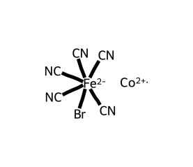 N#[C][Fe-2]([Br])([C]#N)([C]#N)([C]#N)[C]#N.[Co+2]